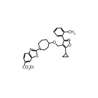 CCOC(=O)c1ccc2nc(N3CCCC(OCc4c(-c5ccccc5C)noc4C4CC4)CC3)sc2c1